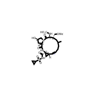 COC[C@@H]1CC(C)CC/C=C\[C@@H]2C[C@@]2(C(=O)NS(=O)(=O)C2CC2)NC(=O)[C@@H]2C[C@@H](O)CN2C(=O)[C@H]1NC(=O)O